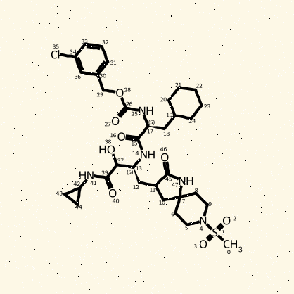 CS(=O)(=O)N1CCC2(CC1)CC(C[C@H](NC(=O)[C@H](CC1CCCCC1)NC(=O)OCc1cccc(Cl)c1)C(O)C(=O)NC1CC1)C(=O)N2